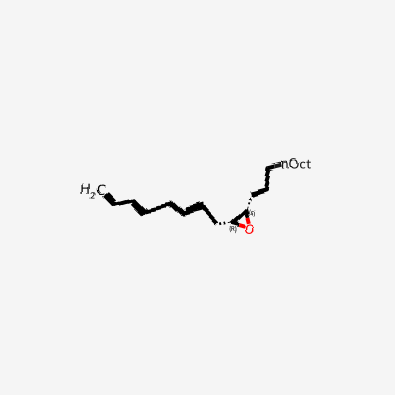 C=CC=CCC=CC[C@H]1O[C@H]1CCCCCCCCCCC